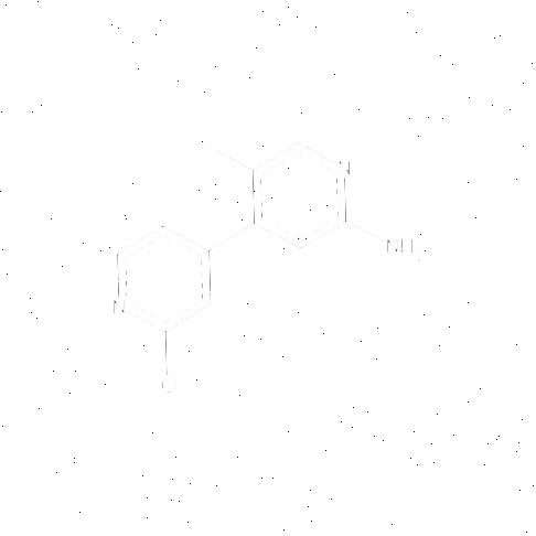 Cc1cnc(N)cc1-c1ccnc(Cl)c1